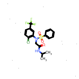 CC(C)NC(=O)CN(c1cc(C(F)(F)F)ccc1Cl)S(=O)(=O)c1ccccc1